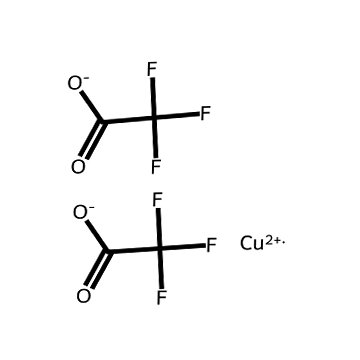 O=C([O-])C(F)(F)F.O=C([O-])C(F)(F)F.[Cu+2]